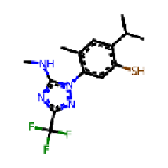 CNc1nc(C(F)(F)F)nn1-c1cc(S)c(C(C)C)cc1C